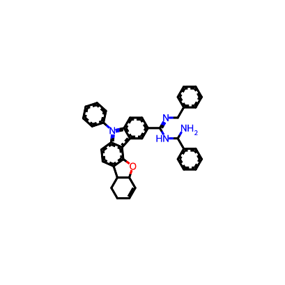 NC(N/C(=N\Cc1ccccc1)c1ccc2c(c1)c1c3c(ccc1n2-c1ccccc1)C1CCC=CC1O3)c1ccccc1